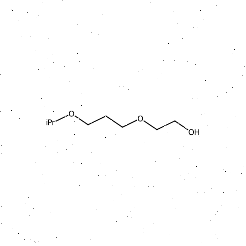 CC(C)OCCCOCCO